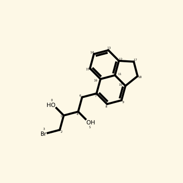 OC(CBr)C(O)Cc1ccc2c3c(cccc13)CC2